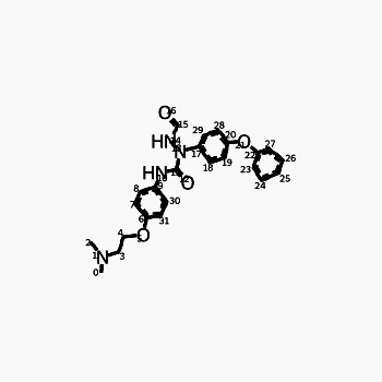 CN(C)CCOc1ccc(NC(=O)N(NC=O)c2ccc(Oc3ccccc3)cc2)cc1